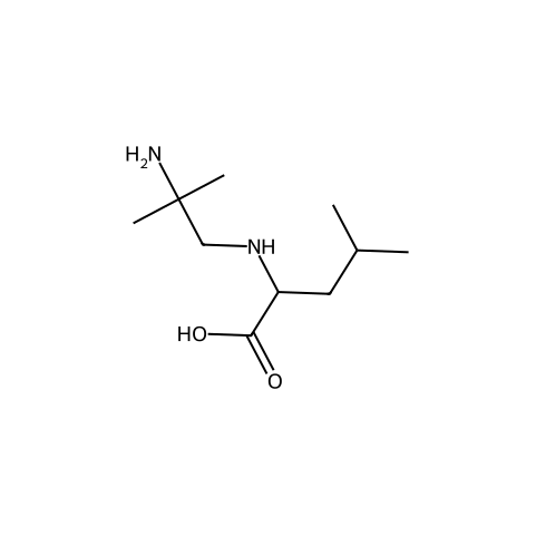 CC(C)CC(NCC(C)(C)N)C(=O)O